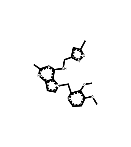 COc1ccnc(Cn2ccc3nc(C)nc(NCc4cc(C)on4)c32)c1OC